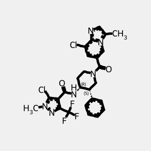 Cc1cnc2c(Cl)cc(C(=O)N3CC[C@@H](NC(=O)c4c(C(F)(F)F)nn(C)c4Cl)[C@@H](c4ccccc4)C3)cn12